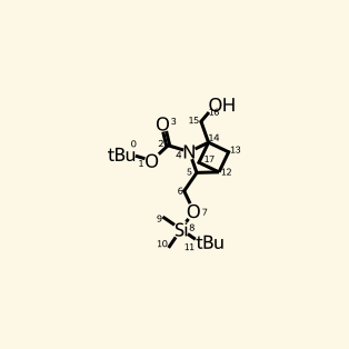 CC(C)(C)OC(=O)N1C(CO[Si](C)(C)C(C)(C)C)C2CC1(CO)C2